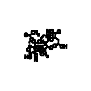 CC(=O)OC[C@H]1O[C@@H](O)[C@@](O)(C(C)=O)[C@@]1(O)C(C)=O.NC(=O)c1cccnc1.O=C(O)CC(O)C(=O)O